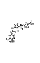 Cc1n[nH]c2ncc(CN3CCc4c(C(=O)Nc5cc(C6CC6)on5)csc4C3)cc12